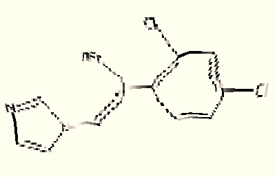 CCCC(=Cn1ccnc1)c1ccc(Cl)cc1Cl